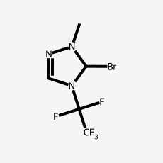 CN1N=CN(C(F)(F)C(F)(F)F)C1Br